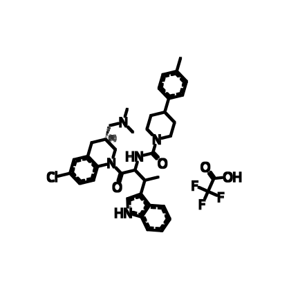 Cc1ccc(C2CCN(C(=O)NC(C(=O)N3C[C@@H](CN(C)C)Cc4cc(Cl)ccc43)C(C)c3c[nH]c4ccccc34)CC2)cc1.O=C(O)C(F)(F)F